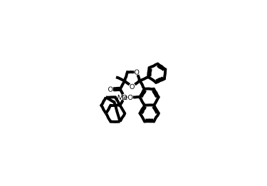 COc1c(C2(c3ccccc3)OCC(C)(C(=O)OC34CC5CC(CC(C5)C3)C4)O2)ccc2ccccc12